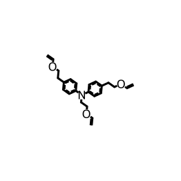 C=COCCc1ccc(N(CCOC=C)c2ccc(CCOC=C)cc2)cc1